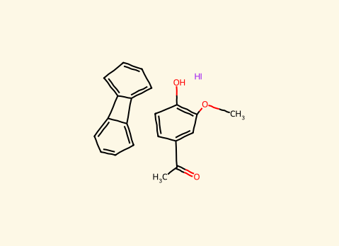 COc1cc(C(C)=O)ccc1O.I.c1ccc2c(c1)-c1ccccc1-2